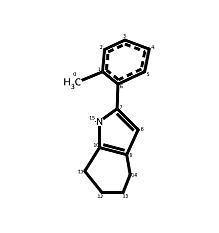 Cc1ccccc1C1=CC2=C(CCCC2)[N]1